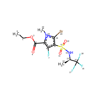 CCOC(=O)c1c(F)c(S(=O)(=O)N[C@H](C)C(F)(F)F)c(Br)n1C